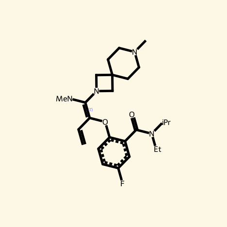 C=C/C(Oc1ccc(F)cc1C(=O)N(CC)C(C)C)=C(\NC)N1CC2(CCN(C)CC2)C1